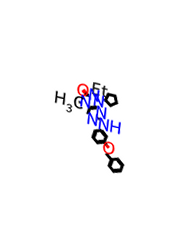 CCN1C(=O)N(C)c2cnc(Nc3cccc(OCc4ccccc4)c3)nc2N1C1CCCC1